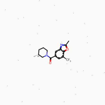 Cc1nc2cc(C(=O)N3CCC[C@@H](C)C3)cc(C(F)(F)F)c2o1